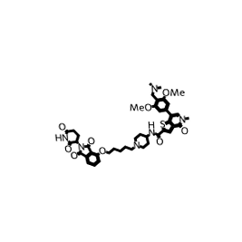 COc1cc(-c2cn(C)c(=O)c3cc(C(=O)NC4CCN(CCCCCOc5cccc6c5C(=O)N(C5CCC(=O)NC5=O)C6=O)CC4)sc23)cc(OC)c1CN(C)C